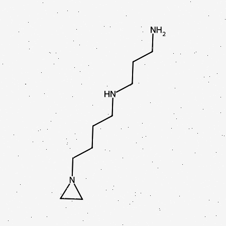 NCCCNCCCCN1CC1